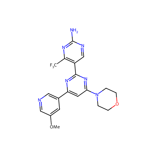 COc1cncc(-c2cc(N3CCOCC3)nc(-c3cnc(N)nc3C(F)(F)F)n2)c1